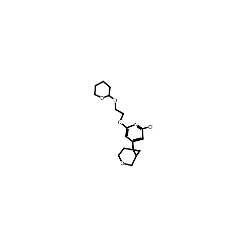 Clc1cc(C23CCOCC2C3)cc(OCCOC2CCCCO2)n1